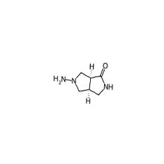 NN1C[C@@H]2CNC(=O)[C@@H]2C1